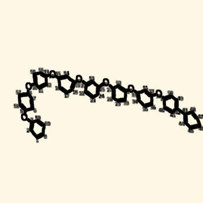 c1ccc(Oc2ccc(Oc3ccc(Oc4cccc(Oc5cccc(Oc6cccc(Oc7cccc(Oc8ccc(-c9ccccc9)cc8)c7)c6)c5)c4)cc3)cc2)cc1